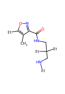 CCNCC(CC)(CC)CNC(=O)c1noc(CC)c1C